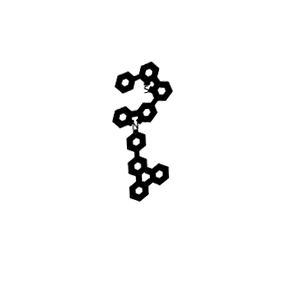 c1ccc(-c2cccc3c2sc2c(-c4ccc5c(c4)c4ccccc4n5-c4ccc(-c5ccc6c7ccccc7c7ccccc7c6c5)cc4)cccc23)cc1